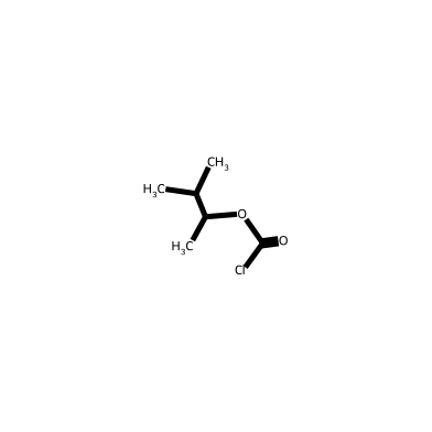 CC(C)C(C)OC(=O)Cl